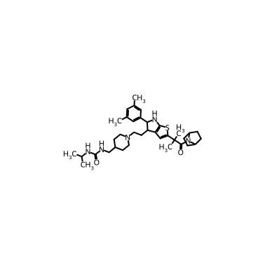 Cc1cc(C)cc(C2Nc3sc(C(C)(C)C(=O)N4C5CCC4CC5)cc3C2CCN2CCC(CNC(=O)NC(C)C)CC2)c1